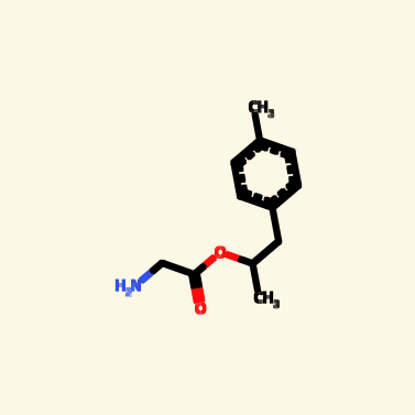 Cc1ccc(CC(C)OC(=O)CN)cc1